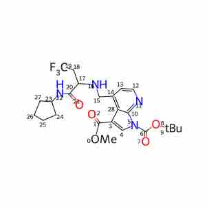 COC(=O)c1cn(C(=O)OC(C)(C)C)c2nccc(CNC(CC(F)(F)F)C(=O)NC3CCCC3)c12